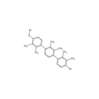 CCOc1ccc(-c2ccc(-c3ccc(CC)c(C)c3C)c(C)c2C)c(C)c1C